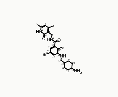 Cc1cc(C)c(CNC(=O)c2cc(Br)cc(NCC3CCC(N)CC3)c2C)c(=O)[nH]1